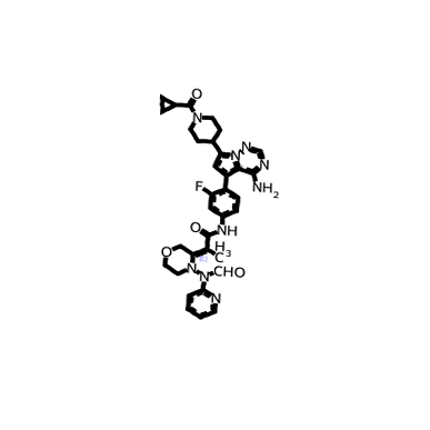 C/C(C(=O)Nc1ccc(-c2cc(C3CCN(C(=O)C4CC4)CC3)n3ncnc(N)c23)c(F)c1)=C1/COCCN1N(C=O)c1ccccn1